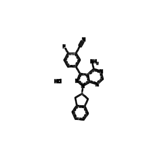 Cl.N#Cc1cc(-c2nn(C3Cc4ccccc4C3)c3ncnc(N)c23)ccc1F